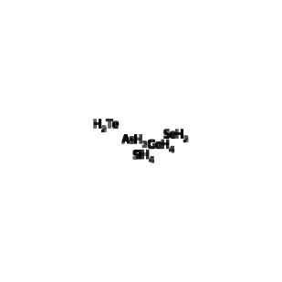 [AsH3].[GeH4].[SeH2].[SiH4].[TeH2]